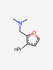 CCCc1ccoc1CN(C)C